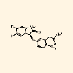 Cc1ccc(C=C2C(=O)Nc3cc(F)c(I)cc32)cc1CC(=O)O